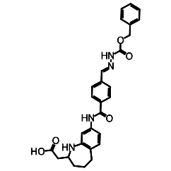 O=C(O)CC1CCCc2ccc(NC(=O)c3ccc(C=NNC(=O)OCc4ccccc4)cc3)cc2N1